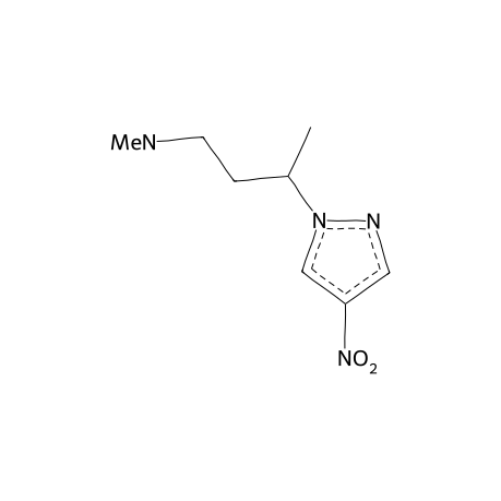 CNCCC(C)n1cc([N+](=O)[O-])cn1